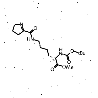 COC(=O)[C@H](CCCCNC(=O)C1=NCCC1)NC(=O)OC(C)(C)C